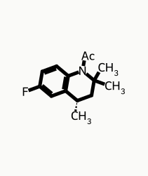 CC(=O)N1c2ccc(F)cc2[C@@H](C)CC1(C)C